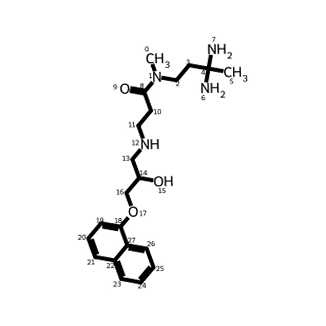 CN(CCC(C)(N)N)C(=O)CCNCC(O)COc1cccc2ccccc12